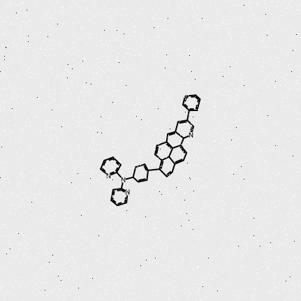 C1=CC(N(c2ccccn2)c2ccccn2)CC=C1C1=C2C=CC3=C4C(=CC=C(C=C1)C24)C1N=CC(c2ccccc2)=CC1=C3